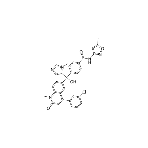 Cc1cc(NC(=O)c2ccc(C(O)(c3ccc4c(c3)c(-c3cccc(Cl)c3)cc(=O)n4C)c3cncn3C)cc2)no1